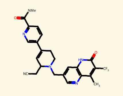 CNC(=O)c1ccc(C2=CC(CC#N)N(Cc3cnc4c(C)c(C(F)(F)F)c(=O)[nH]c4c3)CC2)cn1